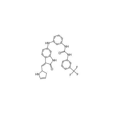 O=C(Nc1cccc(Nc2ccc3c(c2)NC(=O)/C3=C\C2CC=CN2)c1)Nc1cccc(C(F)(F)F)c1